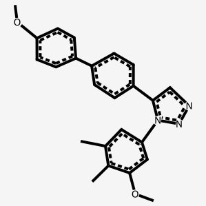 COc1ccc(-c2ccc(-c3cnnn3-c3cc(C)c(C)c(OC)c3)cc2)cc1